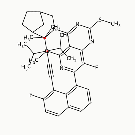 COc1nc(-c2cccc3ccc(F)c(C#C[Si](C(C)C)(C(C)C)C(C)C)c23)c(F)c2nc(SC)nc(N3CC4CCC(C4)C3)c12